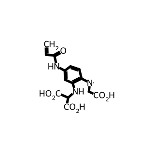 C=CC(=O)Nc1ccc([N]CC(=O)O)c(NC(C(=O)O)C(=O)O)c1